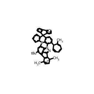 CC1=CC=CC#CC1c1ccc2c3c1-n1nc4c5c(c(C(C)(C)C)cc(c51)B3c1ccccc1C21c2ccccc2-c2ccccc21)C1=C4C2(C)CCC1(C)CC2